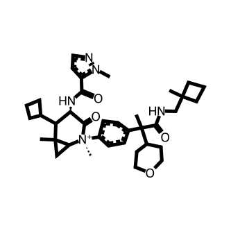 Cn1nccc1C(=O)N[C@@H]1C(=O)[N@@+](C)(c2ccc(C(C)(C(=O)NCC3(C)CCC3)C3CCOCC3)cc2)C2CC2(C)C1C1CCC1